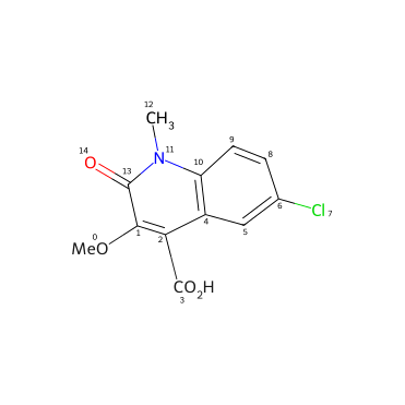 COc1c(C(=O)O)c2cc(Cl)ccc2n(C)c1=O